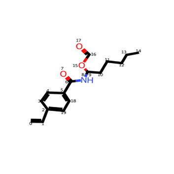 C=Cc1ccc(C(=O)NC(CCCCC)OC=O)cc1